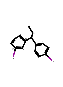 [CH2]CC(c1ccc(I)cc1)c1cccc(I)c1